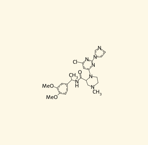 COc1ccc(C(C)NC(=O)C2CN(C)CCN2c2cc(Cl)nc(-n3ccnc3)n2)cc1OC